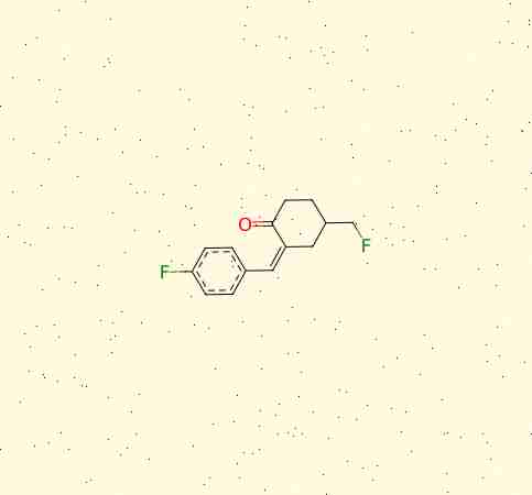 O=C1CCC(CF)CC1=Cc1ccc(F)cc1